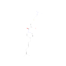 CC(C)CCCCC1CCN(C(=O)C(O)CSCCN)CC1